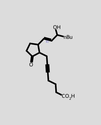 CCCCC(O)/C=C/C1CCC(=O)C1CC#CCCCC(=O)O